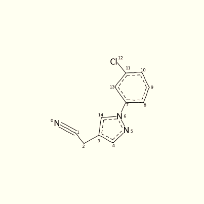 N#CCc1cnn(-c2cccc(Cl)c2)c1